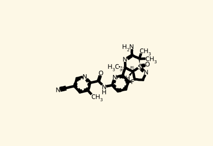 Cc1cc(C#N)cnc1C(=O)Nc1ccc(F)c([C@@]2(C)N=C(N)C(C)(C)[S@]3(=O)=NCC[C@H]23)n1